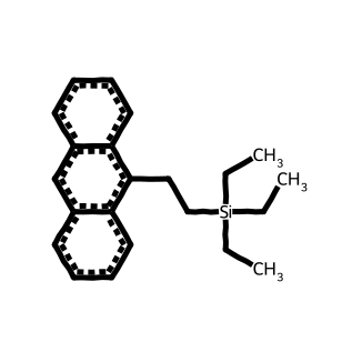 CC[Si](CC)(CC)CCc1c2ccccc2cc2ccccc12